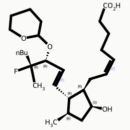 CCCC[C@@](C)(F)[C@@H](/C=C/[C@@H]1[C@@H](C/C=C\CCCC(=O)O)[C@@H](O)C[C@H]1C)OC1CCCCO1